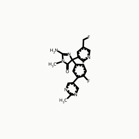 Cc1ncc(-c2cc(C3(c4cncc(CF)c4)N=C(N)N(C)C3=O)c(F)cc2F)cn1